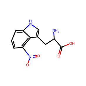 NC(Cc1c[nH]c2cccc([N+](=O)[O-])c12)C(=O)O